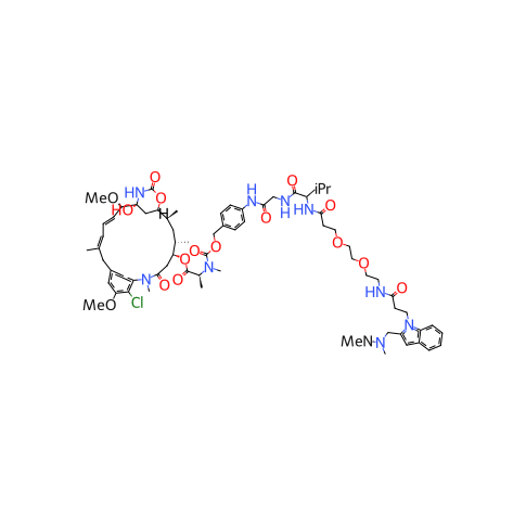 CNN(C)Cc1cc2ccccc2n1CCC(=O)NCCOCCOCCC(=O)NC(C(=O)NCC(=O)Nc1ccc(COC(=O)N(C)[C@@H](C)C(=O)O[C@H]2CC(=O)N(C)c3cc(cc(OC)c3Cl)C/C(C)=C/C=C/[C@@H](OC)[C@@]3(O)C[C@H](OC(=O)N3)[C@@H](C)C[C@@H]2C)cc1)C(C)C